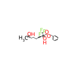 C[C@@H](O)CCCC#C[C@@](O)(C(=O)OCc1ccccc1)C(F)(F)F